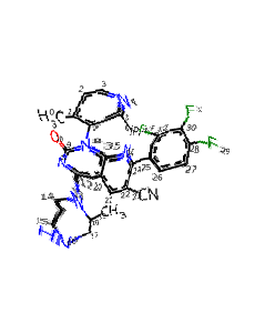 Cc1ccnc(C(C)C)c1-n1c(=O)nc(N2CCNCC2C)c2cc(C#N)c(-c3ccc(F)c(F)c3F)nc21